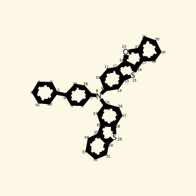 c1ccc(-c2ccc(N(c3ccc4c(c3)sc3c5ccccc5oc43)c3ccc4sc5ccccc5c4c3)cc2)cc1